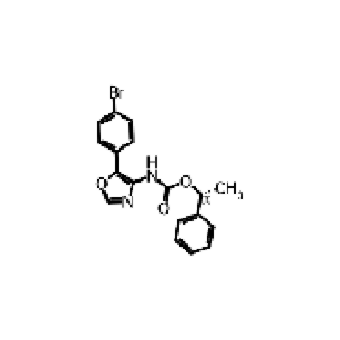 C[C@@H](OC(=O)Nc1ncoc1-c1ccc(Br)cc1)c1ccccc1